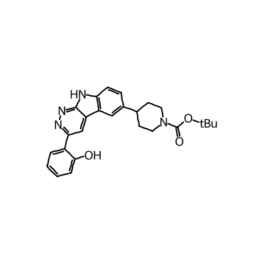 CC(C)(C)OC(=O)N1CCC(c2ccc3[nH]c4nnc(-c5ccccc5O)cc4c3c2)CC1